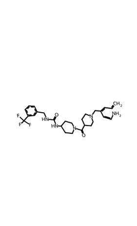 C=C/C=C(\C=C/N)CN1CCC(C(=O)N2CCC(NC(=O)NCc3cccc(C(F)(F)F)c3)CC2)CC1